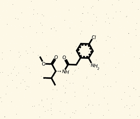 COC(=O)[C@H](NC(=O)Cc1ccc(Cl)cc1N)C(C)C